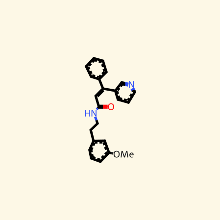 COc1cccc(CCNC(=O)C=C(c2ccccc2)c2cccnc2)c1